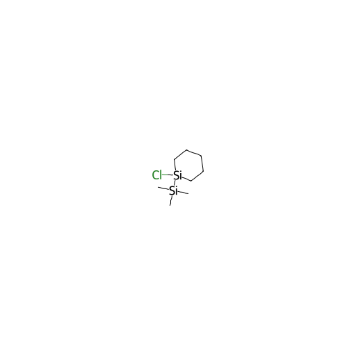 C[Si](C)(C)[Si]1(Cl)CCCCC1